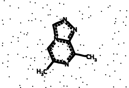 Cc1cn2cnnc2c(C)n1